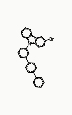 Brc1ccc2c(c1)c1ccccc1n2-c1cccc(-c2ccc(-c3ccccc3)cc2)c1